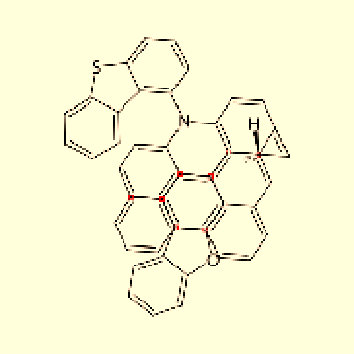 C1=CC(N(c2ccccc2-c2cccc3cccc(-c4ccccc4)c23)c2cccc3sc4ccccc4c23)=C(c2ccc3c(c2)oc2ccccc23)[C@H]2C=C12